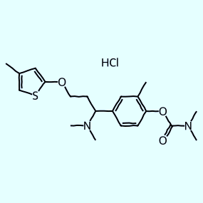 Cc1csc(OCCC(c2ccc(OC(=O)N(C)C)c(C)c2)N(C)C)c1.Cl